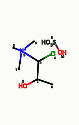 CC(O)C(Cl)[N+](C)(C)C.O=S(=O)(O)O